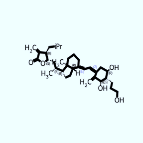 C=C1/C(=C\C=C2/CCC[C@]3(C)[C@@H]([C@H](C)C[C@@H]4OC(=O)C(=C)[C@H]4CC(C)C)CC[C@@H]23)C[C@@H](O)[C@H](CCCO)[C@@H]1O